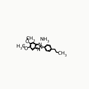 CCCc1ccc(-n2nc3cc(OC)c(OC)cc3n2)cc1.N